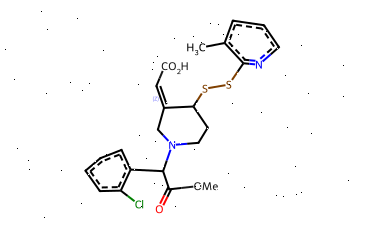 COC(=O)C(c1ccccc1Cl)N1CCC(SSc2ncccc2C)/C(=C\C(=O)O)C1